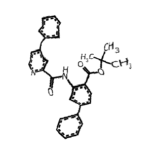 CC(C)(C)OC(=O)c1ccc(-c2ccccc2)cc1NC(=O)c1cc(-c2ccccc2)ccn1